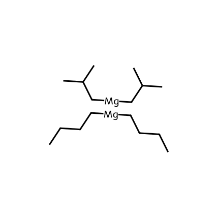 CC(C)[CH2][Mg][CH2]C(C)C.CCC[CH2][Mg][CH2]CCC